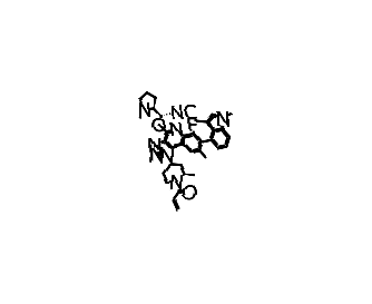 C=CC(=O)N1CC[C@H](n2nnc3c(O[C@@H](C)[C@@H]4CCCN4C)nc4c(F)c(-c5cccc6c5c(CC#N)cn6C)c(C)cc4c32)C[C@H]1C